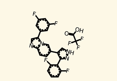 Fc1cc(F)cc(-c2cnc3ccc(-c4c[nH]nc4-c4c(F)cccc4F)cn23)c1.O=C(O)C(F)(F)F